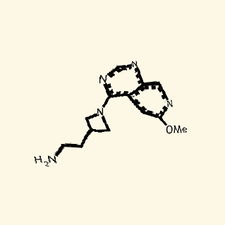 COc1cc2c(N3CC(CCN)C3)ncnc2cn1